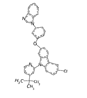 CC(C)(C)c1ccnc(-n2c3ccc(Cl)cc3c3ccc(Oc4cccc(-n5cnc6ccccc65)c4)cc32)c1